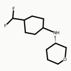 FC(F)C1CCC(N[C@H]2CCCOC2)CC1